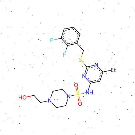 CCc1cc(NS(=O)(=O)N2CCN(CCO)CC2)nc(SCc2cccc(F)c2F)n1